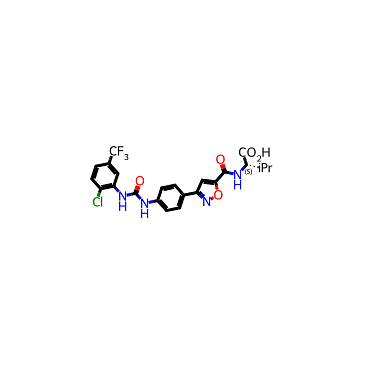 CC(C)[C@H](NC(=O)c1cc(-c2ccc(NC(=O)Nc3cc(C(F)(F)F)ccc3Cl)cc2)no1)C(=O)O